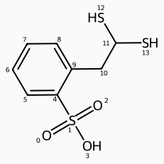 O=S(=O)(O)c1ccccc1CC(S)S